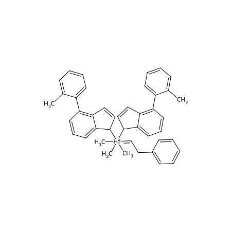 Cc1ccccc1-c1cccc2c1C=C[CH]2[Hf]([CH3])([CH3])([CH3])(=[CH]Cc1ccccc1)[CH]1C=Cc2c(-c3ccccc3C)cccc21